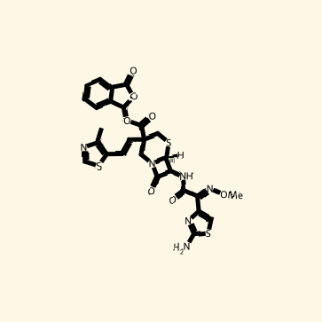 CON=C(C(=O)NC1C(=O)N2CC(C=Cc3scnc3C)(C(=O)OC3OC(=O)c4ccccc43)CS[C@H]12)c1csc(N)n1